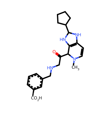 CN1C=CC2=C(NC(C3CCCC3)N2)C1C(=O)CNCc1cccc(C(=O)O)c1